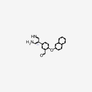 N=C/C(=C\N)c1ccc(Oc2ccc3ccccc3c2)c(C=O)c1